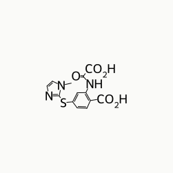 Cn1ccnc1Sc1ccc(C(=O)O)c(NC(=O)C(=O)O)c1